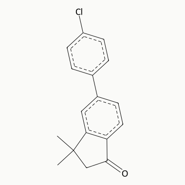 CC1(C)CC(=O)c2ccc(-c3ccc(Cl)cc3)cc21